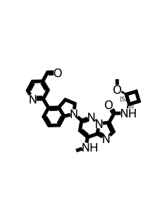 CNc1cc(N2CCc3c(-c4cc(C=O)ccn4)cccc32)nn2c(C(=O)N[C@H]3CC[C@@H]3OC)cnc12